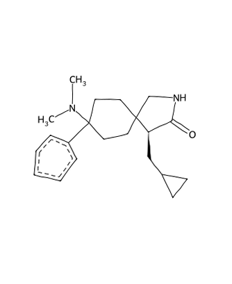 CN(C)C1(c2ccccc2)CCC2(CC1)CNC(=O)[C@H]2CC1CC1